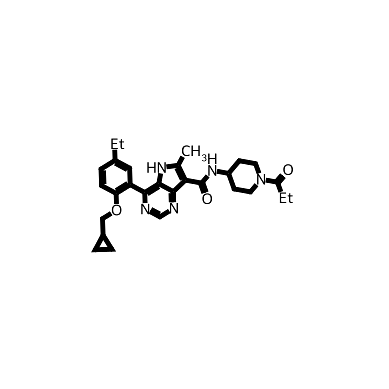 CCC(=O)N1CCC(NC(=O)c2c(C)[nH]c3c(-c4cc(CC)ccc4OCC4CC4)ncnc23)CC1